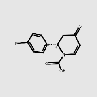 O=C1C=CN(C(=O)O)[C@H](c2ccc(F)cc2)C1